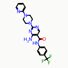 Nc1nc(N2CCN(c3ccccn3)CC2)ncc1C(=O)Nc1ccc(C(F)(F)F)cc1